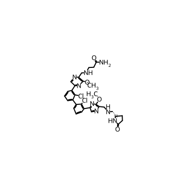 COc1nc(-c2cccc(-c3cccc(-c4cnc(CNC[C@@H]5CCC(=O)N5)c(OC)n4)c3Cl)c2Cl)cnc1CNCCC(N)=O